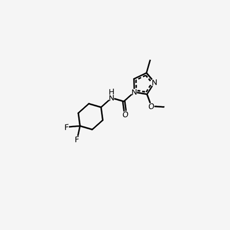 COc1nc(C)cn1C(=O)NC1CCC(F)(F)CC1